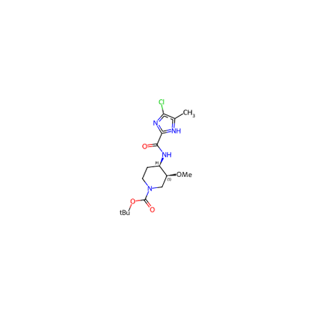 CO[C@H]1CN(C(=O)OC(C)(C)C)CC[C@H]1NC(=O)c1nc(Cl)c(C)[nH]1